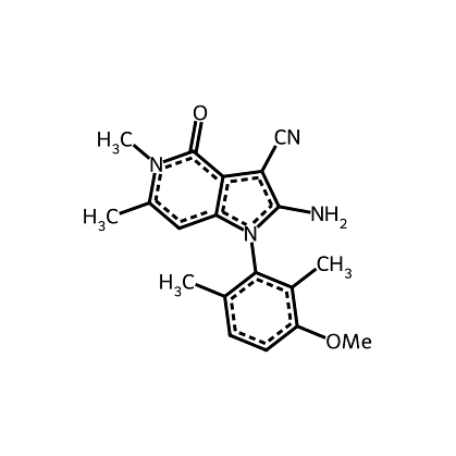 COc1ccc(C)c(-n2c(N)c(C#N)c3c(=O)n(C)c(C)cc32)c1C